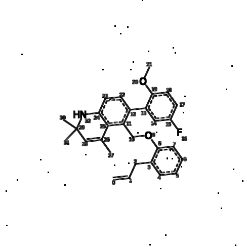 C=CCc1ccccc1OCc1c(-c2cc(F)ccc2OC)ccc2c1C(C)=CC(C)(C)N2